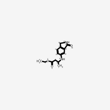 CCOC(=O)CC(C)Nc1ccc2c(c1)C(=O)NC2